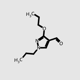 CCCOc1nn(CCC)cc1C=O